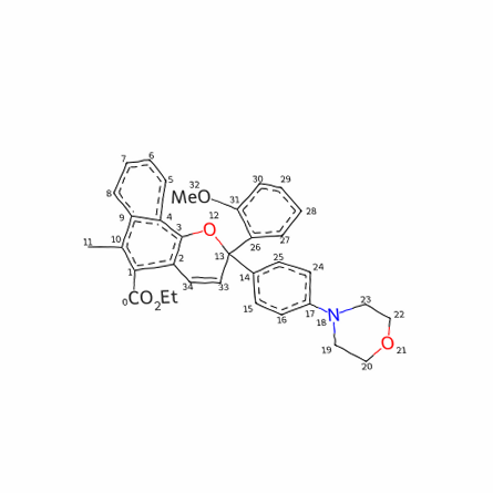 CCOC(=O)c1c2c(c3ccccc3c1C)OC(c1ccc(N3CCOCC3)cc1)(c1ccccc1OC)C=C2